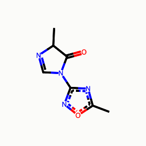 Cc1nc(N2C=NC(C)C2=O)no1